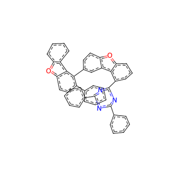 c1ccc(-c2nc(-c3ccccc3)nc(-c3cccc4oc5ccc(-c6c(-c7ccccc7)ccc7oc8ccccc8c67)cc5c34)n2)cc1